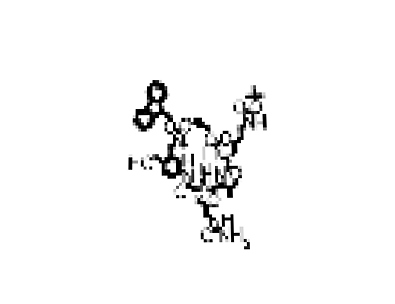 C#CCOC(=O)N[C@@H](CCCCNC(=O)OC(C)(C)C)C(=O)N[C@H](C(=O)N[C@@H](CCCNC(N)=O)C(=O)Nc1ccc(CO)c(CN(C)C(=O)OCC2c3ccccc3-c3ccccc32)c1)C(C)C